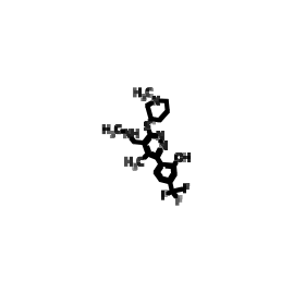 CNCc1c(S[C@@H]2CCCN(C)C2)nnc(-c2ccc(C(F)(F)F)cc2O)c1C